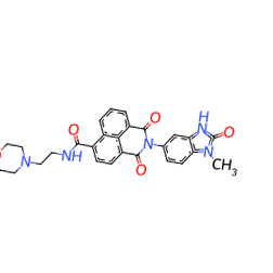 Cn1c(=O)[nH]c2cc(N3C(=O)c4cccc5c(C(=O)NCCN6CCOCC6)ccc(c45)C3=O)ccc21